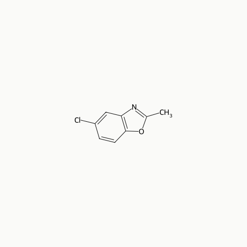 Cc1nc2cc(Cl)ccc2o1